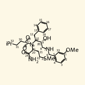 COc1cccc(CNC[C@@H](O)[C@H](Cc2ccccc2)N([C@@H](CCSC)C(N)=O)S(=O)(=O)CCC(C)C)c1